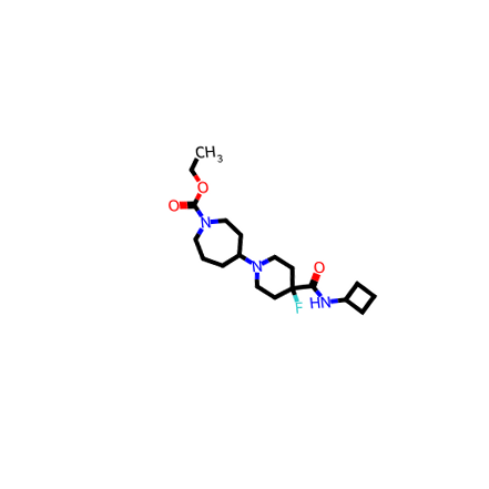 CCOC(=O)N1CCCC(N2CCC(F)(C(=O)NC3CCC3)CC2)CC1